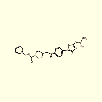 Cc1nc(N=C(N)N)sc1-c1ccc(NCC2CCN(C(=O)OCc3ccccc3)CC2)cc1